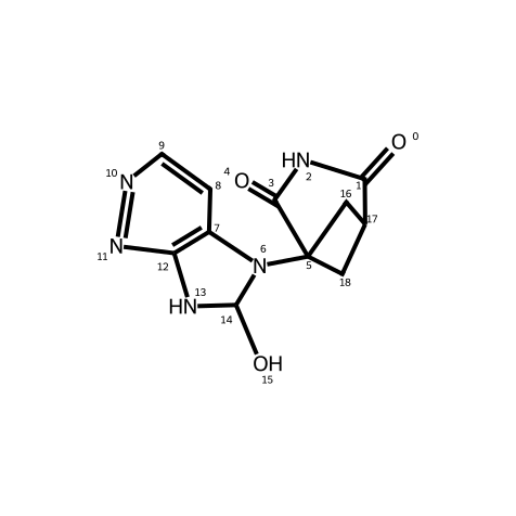 O=C1NC(=O)C2(N3c4ccnnc4NC3O)CC1C2